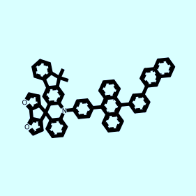 CC1(C)c2ccccc2-c2cc3c(cc21)N(c1ccc(-c2c4ccccc4c(-c4cccc(-c5ccc6ccccc6c5)c4)c4ccccc24)cc1)c1ccccc1C31c2ccoc2-c2occc21